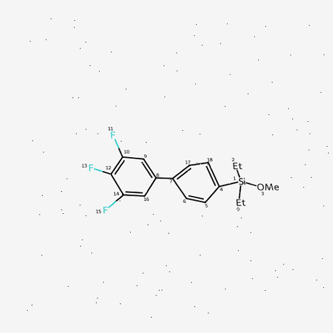 CC[Si](CC)(OC)c1ccc(-c2cc(F)c(F)c(F)c2)cc1